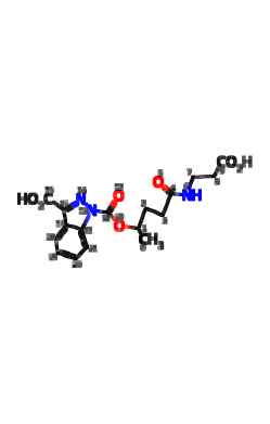 CC(CCC(=O)NCCC(=O)O)OC(=O)n1nc(C(=O)O)c2ccccc21